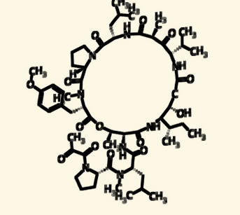 CC[C@H](C)[C@H]1NC(=O)[C@@H](NC(=O)[C@H](CC(C)C)N(C)C(=O)[C@@H]2CCCN2C(=O)C(C)=O)[C@@H](C)OC(=O)[C@H](Cc2ccc(OC)cc2)N(C)C(=O)[C@@H]2CCCN2C(=O)[C@H](CC(C)C)NC(=O)[C@@H](C)C(=O)[C@H](C(C)C)NC(=O)C[C@@H]1O